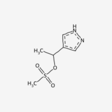 CC(OS(C)(=O)=O)c1cn[nH]c1